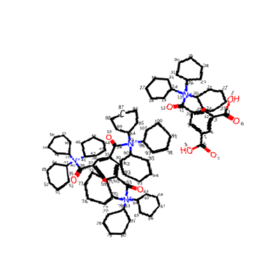 O=C(O)c1cc(C(=O)O)cc(C(=O)[N+](C2CCCCC2)(C2CCCCC2)C2CCCCC2)c1.O=C(c1cc(C(=O)[N+](C2CCCCC2)(C2CCCCC2)C2CCCCC2)cc(C(=O)[N+](C2CCCCC2)(C2CCCCC2)C2CCCCC2)c1)[N+](C1CCCCC1)(C1CCCCC1)C1CCCCC1